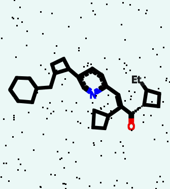 CCC1CC[C@@H]1C(=O)/C(=C/c1ccc(C2CCC2CC2CCCCC2)cn1)C1CCC1